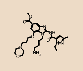 CCn1nc(C)cc1C(=O)Nc1nc2cc(C(=O)OC)cc(OCCCN3CCOCC3)c2n1CC=CCN